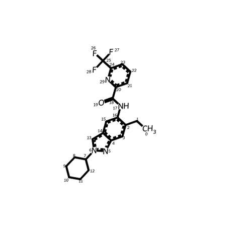 CCc1cc2nn(C3CCCCC3)cc2cc1NC(=O)c1cccc(C(F)(F)F)n1